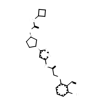 O=Cc1c(O)cccc1OCC(=O)Nc1cc([C@H]2CC[C@@H](OC(=O)NC3CCC3)C2)[nH]n1